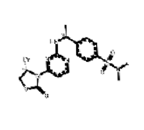 CC(C)[C@H]1COC(=O)N1c1ccnc(N[C@@H](C)c2ccc(S(=O)(=O)N(C)C)cc2)n1